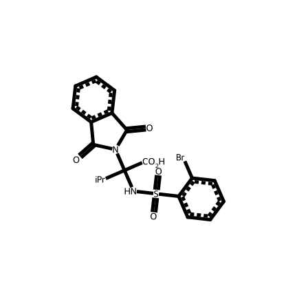 CC(C)C(NS(=O)(=O)c1ccccc1Br)(C(=O)O)N1C(=O)c2ccccc2C1=O